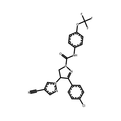 N#Cc1cnn(C2CN(C(=O)Nc3ccc(OC(F)(F)F)cc3)N=C2c2ccc(Cl)cc2)c1